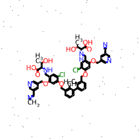 C/N=C/c1cncc(COc2cc(OCc3cccc(-c4cccc(COc5cc(OCc6cncc(C#N)c6)c(CN[C@@H](C(=O)O)[C@H](C)O)cc5Cl)c4C)c3C)c(Cl)cc2CN[C@@H](C(=O)O)[C@H](C)O)c1